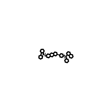 c1ccc(N(c2ccc(-c3ccc4cc5cc(-n6c7ccccc7c7ccccc76)ccc5cc4c3)cc2)c2cccc3ccccc23)cc1